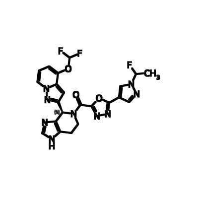 CC(F)n1cc(-c2nnc(C(=O)N3CCc4[nH]cnc4[C@H]3c3cc4c(OC(F)F)cccn4n3)o2)cn1